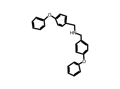 c1ccc(Oc2ccc(CNCc3ccc(Oc4ccccc4)cc3)cc2)cc1